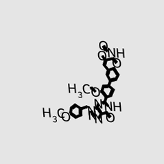 CCOc1cc(-c2cccc(C=C3OC(=O)NC3=O)c2)ccc1-c1nc2c(nnn2Cc2ccc(OC)cc2)c(=O)[nH]1